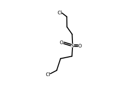 O=S(=O)(CCCCl)CCCCl